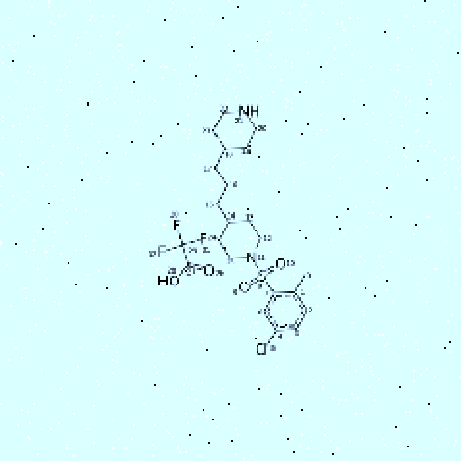 Cc1ccc(Cl)cc1S(=O)(=O)N1CCC(CCCC2CCNCC2)CC1.O=C(O)C(F)(F)F